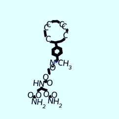 C/C(=N\OCCOC(=O)NC(COC(N)=O)COC(N)=O)c1ccc(C2CCCCCCCCCCCCCC2)cc1